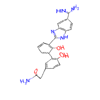 N=C(N)c1ccc2[nH]c(-c3cccc(-c4cc(CC(N)=O)ccc4O)c3O)nc2c1